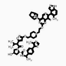 Cc1ccc2[nH]ncc2c1-c1ncc2c(N3CC4CCC(C3)N4)nc(OCCN3CCC(COc4cc(C(C(=O)N5C[C@H](O)C[C@H]5C(=O)NC(C)c5ccc(-c6scnc6C)cc5)C(C)C)on4)CC3)nc2c1F